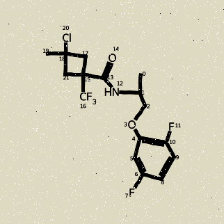 CC(COc1cc(F)ccc1F)NC(=O)C1(C(F)(F)F)CC(C)(Cl)C1